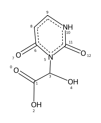 O=C(O)C(O)n1c(=O)cc[nH]c1=O